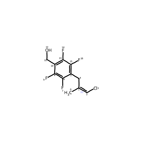 C/C(=C/Cl)Cc1c(F)c(F)c(CO)c(F)c1F